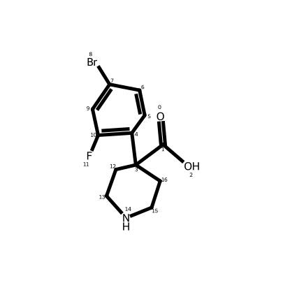 O=C(O)C1(c2ccc(Br)cc2F)CCNCC1